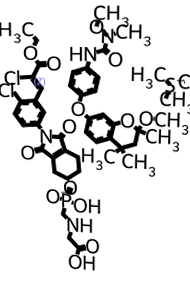 CCOC(=O)/C(Cl)=C/c1cc(N2C(=O)C3=C(CCCC3)C2=O)ccc1Cl.CON(C)C(=O)Nc1ccc(Oc2ccc3c(c2)OC(C)(OC)CC3(C)C)cc1.C[S+](C)C.O=C(O)CNCP(=O)([O-])O